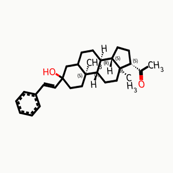 CC(=O)[C@H]1CC[C@H]2[C@@H]3CCC4CC(O)(C=Cc5ccccc5)CC[C@]4(C)[C@H]3CC[C@]12C